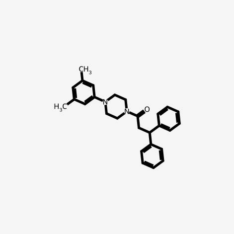 Cc1cc(C)cc(N2CCN(C(=O)CC(c3ccccc3)c3ccccc3)CC2)c1